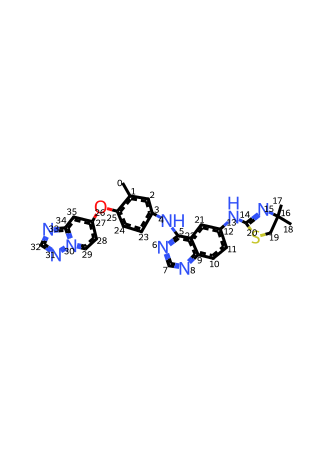 Cc1cc(Nc2ncnc3ccc(NC4=NC(C)(C)CS4)cc23)ccc1Oc1ccn2ncnc2c1